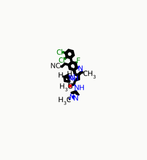 Cc1nc2c(F)c(-c3cccc(Cl)c3Cl)c(CCC#N)cc2c2c1cc(C(C)Nc1cnn(C)c1)n2[C@H]1[C@H]2CN[C@@H]1C2